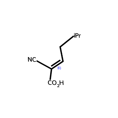 CC(C)C/C=C(\C#N)C(=O)O